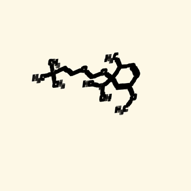 COC1=CC(OCOCC[Si](C)(C)C)(B(O)O)C(C)C=C1